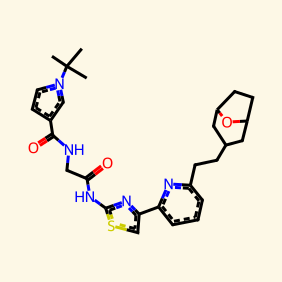 CC(C)(C)n1ccc(C(=O)NCC(=O)Nc2nc(-c3cccc(CCC4CC5CCC(C4)O5)n3)cs2)c1